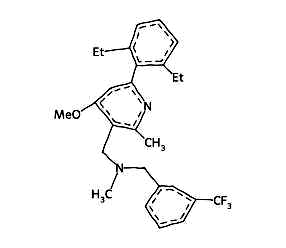 CCc1cccc(CC)c1-c1cc(OC)c(CN(C)Cc2cccc(C(F)(F)F)c2)c(C)n1